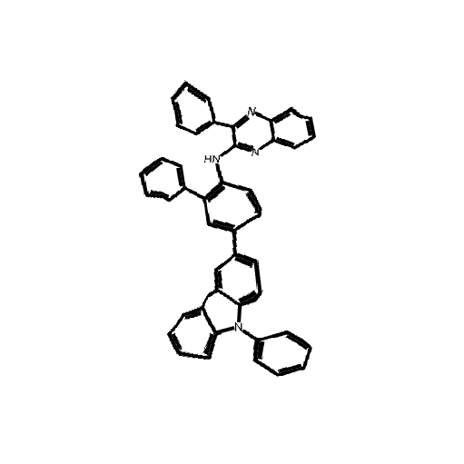 c1ccc(-c2cc(-c3ccc4c(c3)c3ccccc3n4-c3ccccc3)ccc2Nc2nc3ccccc3nc2-c2ccccc2)cc1